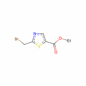 CCOC(=O)c1cnc(CBr)s1